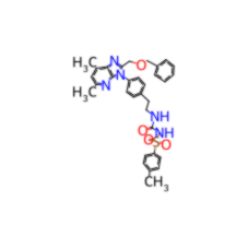 Cc1ccc(S(=O)(=O)NC(=O)NCCc2ccc(-n3c(COCc4ccccc4)nc4c(C)cc(C)nc43)cc2)cc1